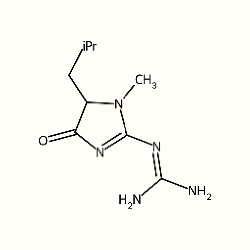 CC(C)CC1C(=O)N=C(N=C(N)N)N1C